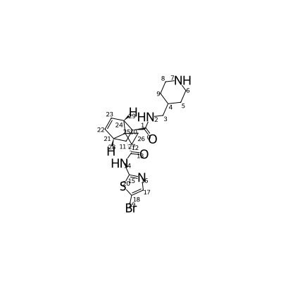 O=C(NCC1CCNCC1)[C@H]1[C@H](C(=O)Nc2ncc(Br)s2)[C@@H]2C=C[C@H]1C21CC1